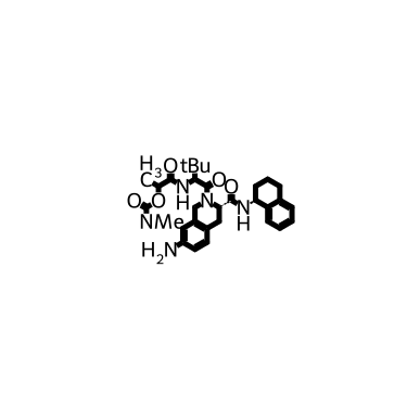 CNC(=O)OC(C)C(=O)NC(C(=O)N1Cc2cc(N)ccc2C[C@H]1C(=O)N[C@@H]1CCCc2ccccc21)C(C)(C)C